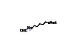 [CH2]CCCCCCCCC/[C]=N/C=O